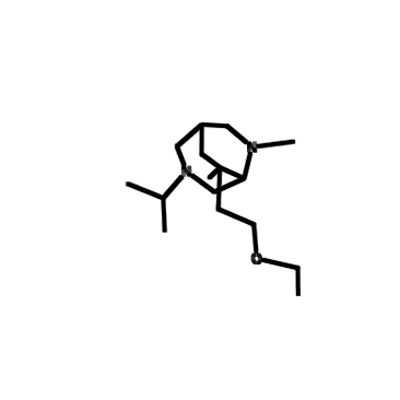 CCOCCC1(C)CC2CN(C)C1CN(C(C)C)C2